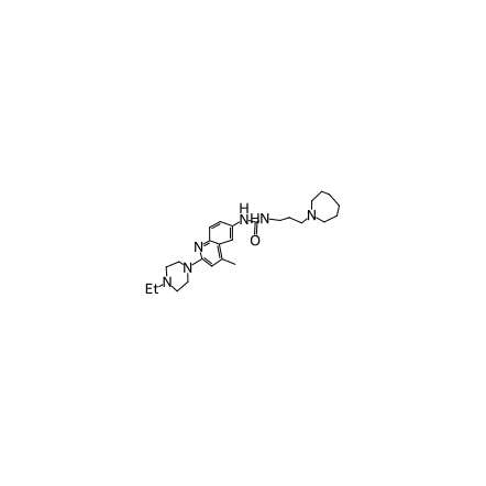 CCN1CCN(c2cc(C)c3cc(NC(=O)NCCCN4CCCCCC4)ccc3n2)CC1